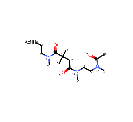 CC(=O)NCCN(C)C(=O)C(C)(C)CC(=O)N(C)CCN(C)C(=O)C(C)C